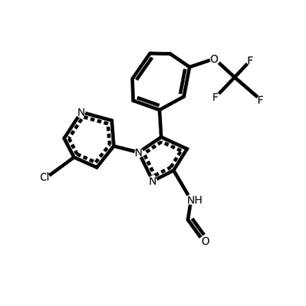 O=CNc1cc(C2=CC=CCC(OC(F)(F)F)=C2)n(-c2cncc(Cl)c2)n1